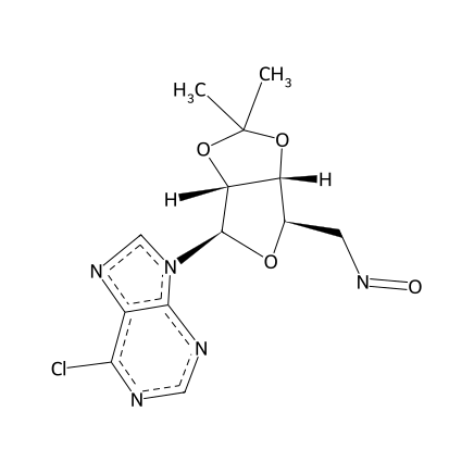 CC1(C)O[C@@H]2[C@H](O1)[C@@H](CN=O)O[C@H]2n1cnc2c(Cl)ncnc21